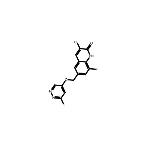 O=c1[nH]c2c(F)cc(COc3cnnc(I)c3)cc2cc1Cl